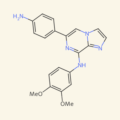 COc1ccc(Nc2nc(-c3ccc(N)cc3)cn3ccnc23)cc1OC